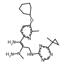 Cc1nc(/C(N)=C(\CNc2ncnc(C3(C)CC3)n2)N(C)N)ccc1OC1CCCCC1